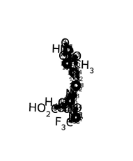 Cn1c(=O)n(C2CCC(=O)NC2=O)c2cccc(C3CCN(C[C@H]4CC[C@H](n5cc6cc(NC(=O)c7cccc(C(F)(F)F)n7)c(C(C)(C)OCC(=O)O)cc6n5)CC4)CC3)c21